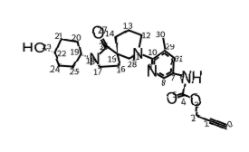 C#CCOC(=O)Nc1cnc(N2CCC[C@]3(CCN([C@H]4CC[C@@H](O)CC4)C3=O)C2)c(C)c1